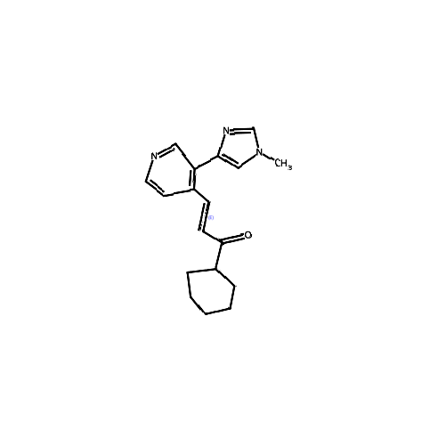 Cn1cnc(-c2cnccc2/C=C/C(=O)C2CCCCC2)c1